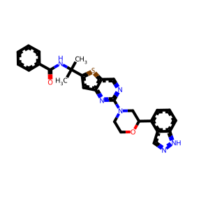 CC(C)(NC(=O)c1ccccc1)c1cc2nc(N3CCOC(c4cccc5[nH]ncc45)C3)ncc2s1